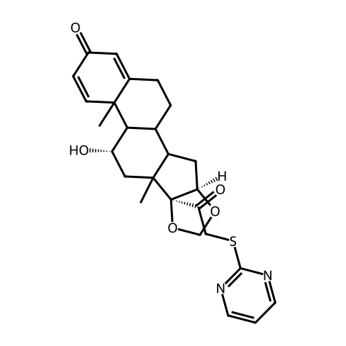 CC12C=CC(=O)C=C1CCC1C2[C@@H](O)CC2(C)C1C[C@H]1OCO[C@]12C(=O)CSc1ncccn1